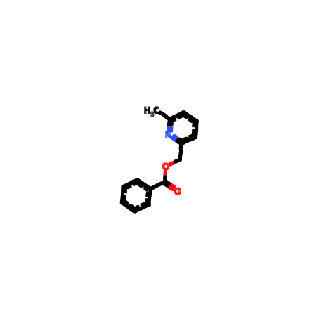 Cc1cccc(COC(=O)c2ccccc2)n1